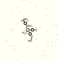 CC1CN(CC(O)c2ccc(C(N)=O)cc2)C[C@@H](c2ccc(Cl)cc2)N1c1ccc(OCCO)cc1